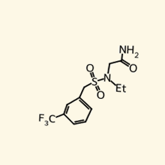 CCN(CC(N)=O)S(=O)(=O)Cc1cccc(C(F)(F)F)c1